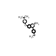 COc1ccc(C2CN(C)Cc3cc(OC4CCN(C(C)C)CC4)ccc32)cc1